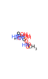 CS(=O)(=O)NCCOc1ccc2c(c1)S(O)(O)N=C(c1c(O)c3ccccc3n(NCC3CC3)c1=O)N2